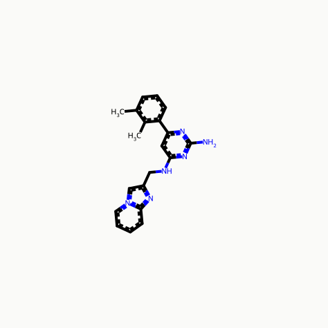 Cc1cccc(-c2cc(NCc3cn4ccccc4n3)nc(N)n2)c1C